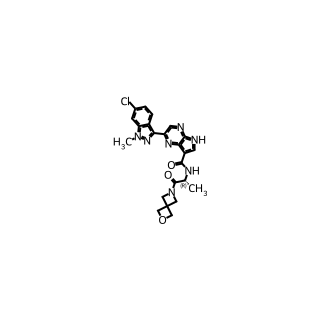 C[C@@H](NC(=O)c1c[nH]c2ncc(-c3nn(C)c4cc(Cl)ccc34)nc12)C(=O)N1CC2(COC2)C1